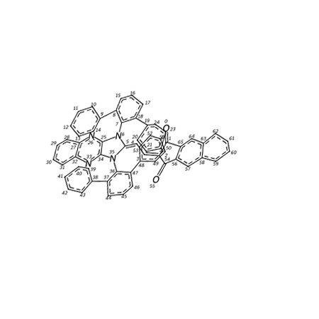 O=C1C(=CC=C2N(c3c(-c4ccccc4)cccc3-c3ccccc3)c3nc4ccccc4nc3N2c2c(-c3ccccc3)cccc2-c2ccccc2)C(=O)c2cc3ccccc3cc21